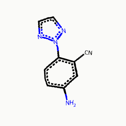 N#Cc1cc(N)ccc1-n1nccn1